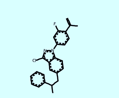 C=C(C)c1ccc(-n2nc(Cl)c3cc(CC(C)c4ccccc4)ccc32)cc1F